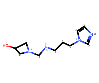 OC1CN(CNCCCn2ccnc2)C1